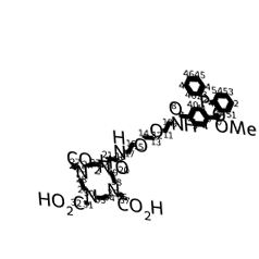 COC(=O)c1ccc(C(=O)NCCOCCOCCNC(=O)CN2CCN(CC(=O)O)CCN(CC(=O)O)CCN(CC(=O)O)CC2)cc1P(c1ccccc1)c1ccccc1